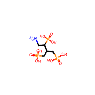 NCC(C(CP(=O)(O)O)CP(=O)(O)O)P(=O)(O)O